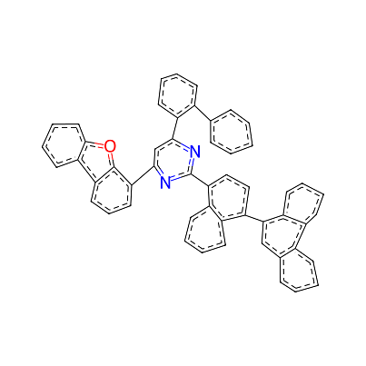 c1ccc(-c2ccccc2-c2cc(-c3cccc4c3oc3ccccc34)nc(-c3ccc(-c4cc5ccccc5c5ccccc45)c4ccccc34)n2)cc1